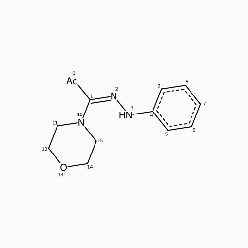 CC(=O)C(=NNc1ccccc1)N1CCOCC1